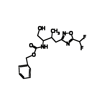 CC(Cc1noc(C(F)F)n1)C(CO)NC(=O)OCc1ccccc1